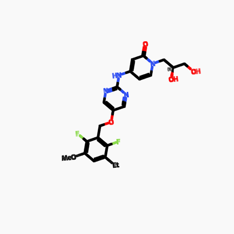 CCc1cc(OC)c(F)c(COc2cnc(Nc3ccn(C[C@H](O)CO)c(=O)c3)nc2)c1F